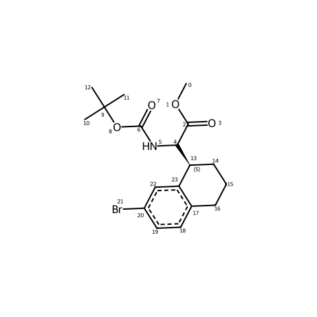 COC(=O)C(NC(=O)OC(C)(C)C)[C@H]1CCCc2ccc(Br)cc21